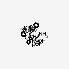 NCCCC(NC(=O)C1(C(=O)NCCNS(=O)(=O)c2ccccc2)CCCC1)B(O)O.O=S(=O)(O)c1ccccc1